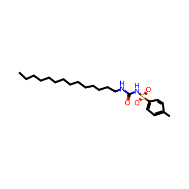 CCCCCCCCCCCCCCNC(=O)NS(=O)(=O)c1ccc(C)cc1